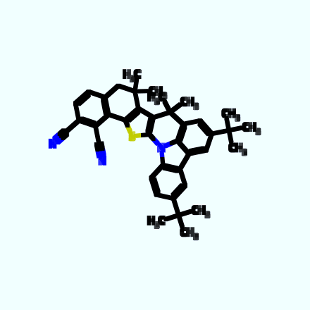 CC(C)(C)c1ccc2c(c1)c1cc(C(C)(C)C)cc3c1n2-c1sc2c(c1C3(C)C)C(C)(C)Cc1ccc(C#N)c(C#N)c1-2